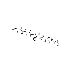 C=CCCCCCCC=CC(=O)CCCCCCCCCC